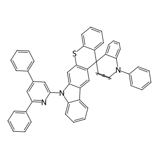 c1ccc(-c2cc(-c3ccccc3)nc(-n3c4ccccc4c4cc5c(cc43)Sc3ccccc3C53c4ccccc4N(c4ccccc4)c4ccccc43)c2)cc1